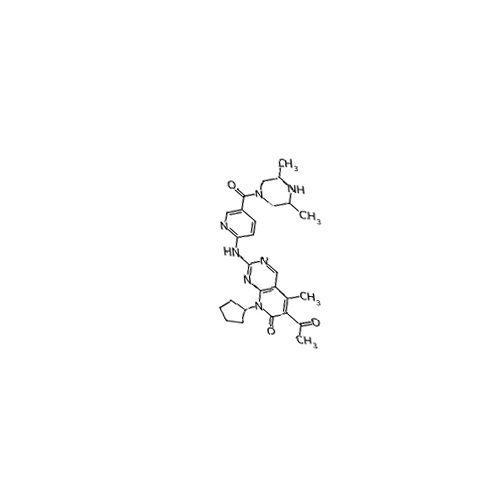 CC(=O)c1c(C)c2cnc(Nc3ccc(C(=O)N4CC(C)NC(C)C4)cn3)nc2n(C2CCCC2)c1=O